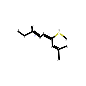 CC/C(C)=C/C=C(\C=C(C)C)SC